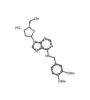 COc1ccc(CNc2ncnc3c2ncn3C2C[C@H](O)[C@@H](CO)O2)cc1OC